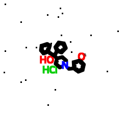 COc1cccc(CN2CCC(C(O)(c3ccccc3)c3ccccc3)CC2)c1.Cl